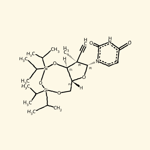 C#C[C@]1(C)[C@@H]2O[Si](C(C)C)(C(C)C)O[Si](C(C)C)(C(C)C)OC[C@H]2O[C@H]1n1ccc(=O)[nH]c1=O